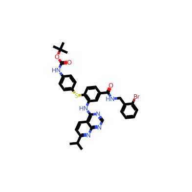 CC(C)c1ccc2c(Nc3cc(C(=O)NCc4ccccc4Br)ccc3Sc3ccc(NC(=O)OC(C)(C)C)cc3)ncnc2n1